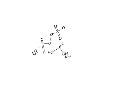 O=S(=O)([O-])OOS(=O)(=O)[O-].O=S(O)O.[Na+].[Na+]